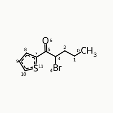 CCCC(Br)C(=O)c1cccs1